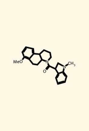 COc1cccc2c1CCC1C2CCCN1C(=O)C1CN(C)c2ccccc21